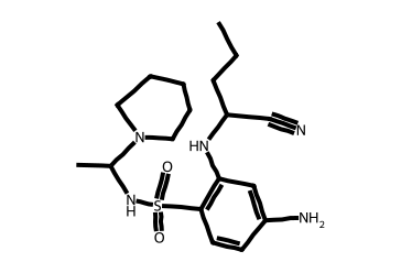 CCCC(C#N)Nc1cc(N)ccc1S(=O)(=O)NC(C)N1CCCCC1